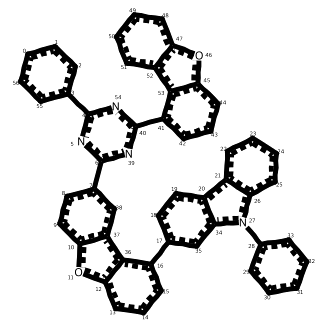 c1ccc(-c2nc(-c3ccc4oc5cccc(-c6ccc7c8ccccc8n(-c8ccccc8)c7c6)c5c4c3)nc(-c3cccc4oc5ccccc5c34)n2)cc1